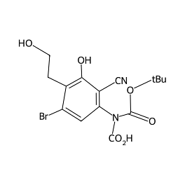 CC(C)(C)OC(=O)N(C(=O)O)c1cc(Br)c(CCO)c(O)c1C#N